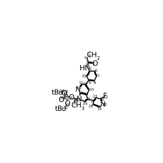 C=CC(=O)Nc1cccc(-c2cnc3c(c2)c(-c2ccnc(F)c2)cn3C(C)OP(=O)(OC(C)(C)C)OC(C)(C)C)c1